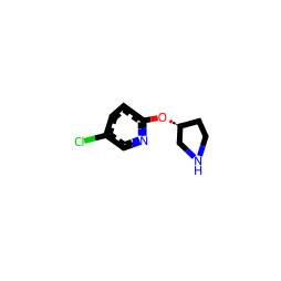 Clc1ccc(O[C@@H]2CCNC2)nc1